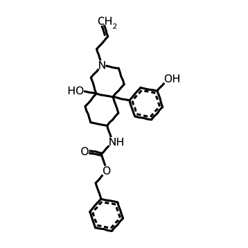 C=CCN1CCC2(c3cccc(O)c3)CC(NC(=O)OCc3ccccc3)CCC2(O)C1